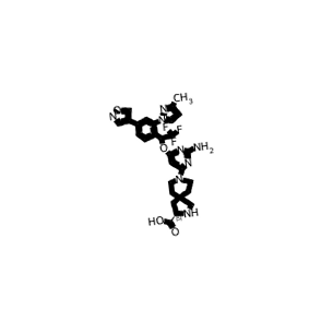 Cc1ccn(-c2cc(-c3cnoc3)ccc2C(Oc2cc(N3CCC4(CC3)CN[C@H](C(=O)O)C4)nc(N)n2)C(F)(F)F)n1